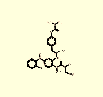 CCOC(=O)CN(C)C(=O)N(C=O)c1cnc(N(CC)c2ccccc2CC)nc1N[C@@H](Cc1ccc(OC(=O)N(C)C)cc1)C(=O)O